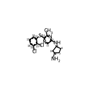 Cc1nc(N[C@@H]2CC[C@@H](N)C2)cnc1Sc1cccc(Cl)c1Cl